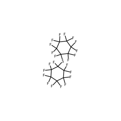 FC1(F)C(F)(F)C(F)(F)C(F)(SC2(F)C(F)(F)C(F)(F)C(F)(F)C(F)(F)C2(F)F)C(F)(F)C1(F)F